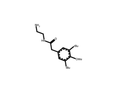 COc1c(C(C)(C)C)cc(CC(=O)NCCN)cc1C(C)(C)C